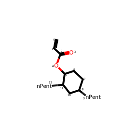 C=CC(=O)OC1CCC(CCCCC)CC1CCCCC